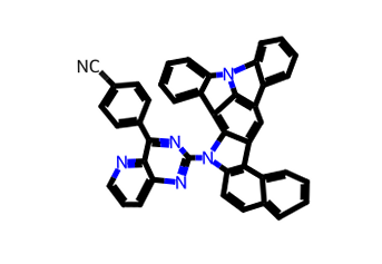 N#Cc1ccc(-c2nc(-n3c4ccc5ccccc5c4c4cc5c6ccccc6n6c7ccccc7c(c43)c56)nc3cccnc23)cc1